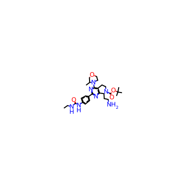 CCNC(=O)Nc1ccc(-c2nc3c(c(N4CCOCC4C)n2)CCN(C(=O)OC(C)(C)C)C3CCN)cc1